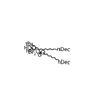 CCCCCCCCCCCCCCCCCCOC(=O)C(CCCCCCCCCCCCCCCCCC)(Cc1cc(CC)c(O)c(C(C)(C)C)c1)C(=O)O